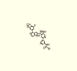 COc1cc(F)cc(-c2nccc3[nH]c(-c4n[nH]c5cnc(-c6cncc(NC(=O)C7CC7)c6)cc45)cc23)c1